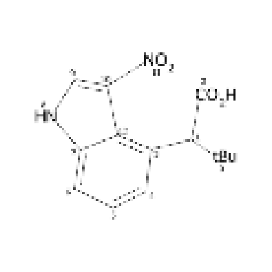 CC(C)(C)C(C(=O)O)c1cccc2[nH]cc([N+](=O)[O-])c12